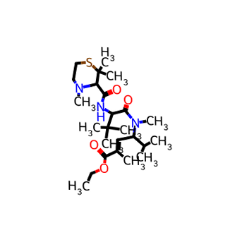 CCOC(=O)/C(C)=C/C(C(C)C)N(C)C(=O)C(NC(=O)C1N(C)CCSC1(C)C)C(C)(C)C